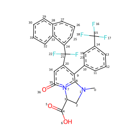 CN1CC(C(=O)O)n2c1c(-c1cccc(C(F)(F)F)c1)c(C(F)(F)c1cccc3ccccc13)cc2=O